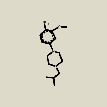 COc1cc(N2CCN(C[C](C)C)CC2)ccc1N